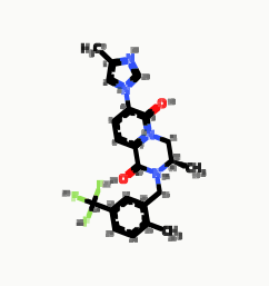 Cc1cn(-c2ccc3n(c2=O)C[C@@H](C)N(Cc2cc(C(F)(F)F)ccc2C)C3=O)cn1